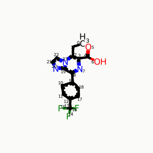 CCc1c(C(=O)O)nc(-c2ccc(C(F)(F)F)cc2)c2nccn12